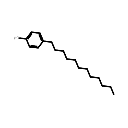 CCCCCCCCCCC[CH]c1ccc(O)cc1